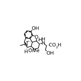 CO[C@@]12CC[C@H](N[C@@H](CO)C(=O)O)[C@@H]3Oc4c(O)ccc5c4[C@@]31CCN(C)[C@@H]2C5